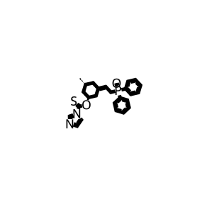 C[C@@H]1C/C(=C/CP(=O)(c2ccccc2)c2ccccc2)C[C@@H](OC(=S)n2ccnc2)C1